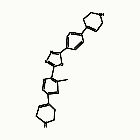 Cc1cc(C2=CCNCC2)ccc1-c1nnc(-c2ccc(C3=CCNCC3)cc2)o1